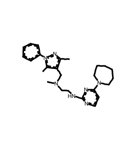 Cc1nn(-c2ccccc2)c(C)c1CN(C)CCNc1nccc(N2CCCCCC2)n1